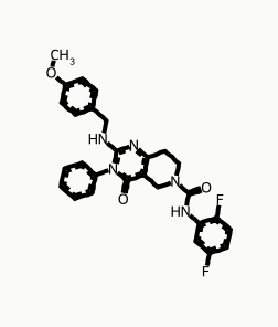 COc1ccc(CNc2nc3c(c(=O)n2-c2ccccc2)CN(C(=O)Nc2cc(F)ccc2F)CC3)cc1